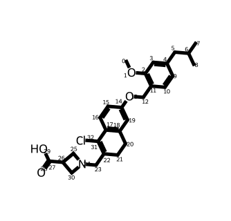 COc1cc(CC(C)C)ccc1COc1ccc2c(c1)CCC(CN1CC(C(=O)O)C1)=C2Cl